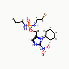 CCCNP(=O)(NCCBr)OCc1cnc([N+](=O)[O-])n1C1CCCCC1